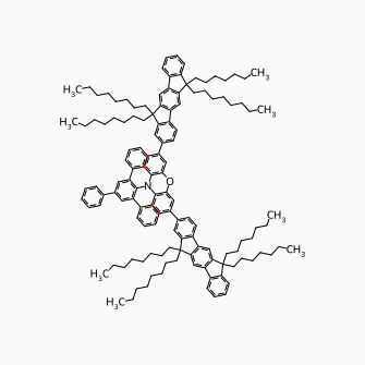 CCCCCCCCC1(CCCCCCC)c2ccccc2-c2cc3c(cc21)-c1ccc(-c2ccc4c(c2)Oc2cc(-c5ccc6c(c5)C(CCCCCCCC)(CCCCCCCC)c5cc7c(cc5-6)C(CCCCCCC)(CCCCCCC)c5ccccc5-7)ccc2N4c2c(-c4ccccc4)cc(-c4ccccc4)cc2-c2ccccc2)cc1C3(CCCCCCCC)CCCCCCCC